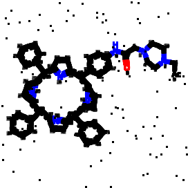 CC(=O)CN1CCN(CC(=O)Nc2ccc(-c3c4nc(c(-c5ccccc5)c5ccc([nH]5)c(-c5ccccc5)c5nc(c(-c6ccccc6)c6ccc3[nH]6)C=C5)C=C4)cc2)CC1